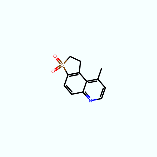 Cc1ccnc2ccc3c(c12)CCS3(=O)=O